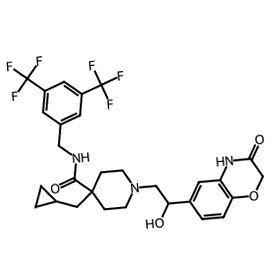 O=C1COc2ccc(C(O)CN3CCC(CC4CC4)(C(=O)NCc4cc(C(F)(F)F)cc(C(F)(F)F)c4)CC3)cc2N1